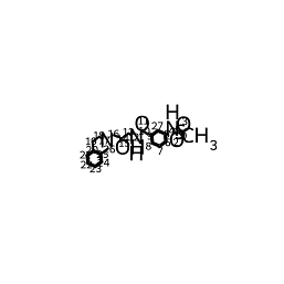 CS(=O)(=O)Nc1cccc(C(=O)NCC(O)CN2CCc3ccccc3C2)c1